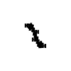 C(CCNCCC1CCNCC1)CNCCC1CCNCC1